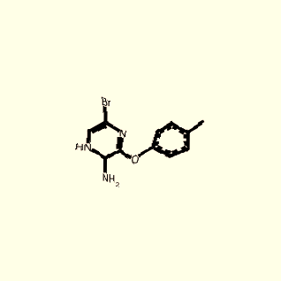 Cc1ccc(OC2=NC(Br)=CNC2N)cc1